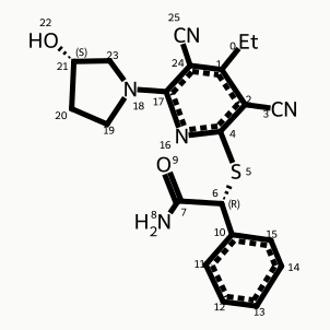 CCc1c(C#N)c(S[C@@H](C(N)=O)c2ccccc2)nc(N2CC[C@H](O)C2)c1C#N